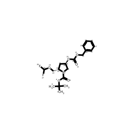 CC(C)(C)OC(=O)N1C[C@H](OC(=O)OCc2ccccc2)C[C@H]1COC(F)F